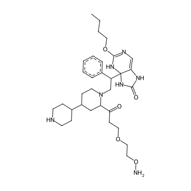 CCCCOC1=NC=C2NC(=O)NC2(C(CN2CCC(C3CCNCC3)CC2C(=O)CCOCCON)c2ccccc2)N1